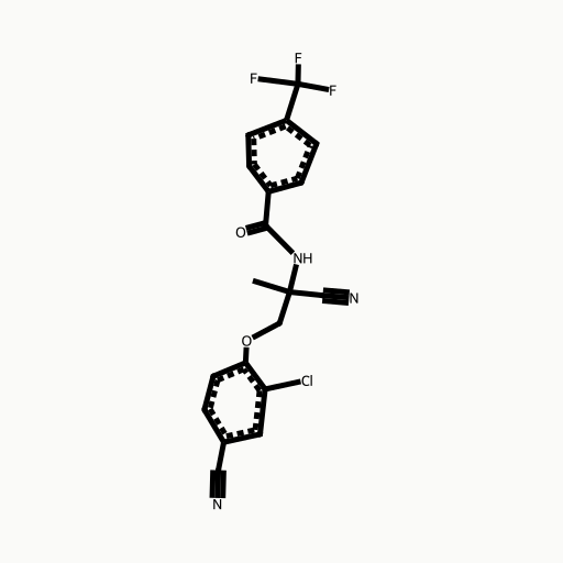 CC(C#N)(COc1ccc(C#N)cc1Cl)NC(=O)c1ccc(C(F)(F)F)cc1